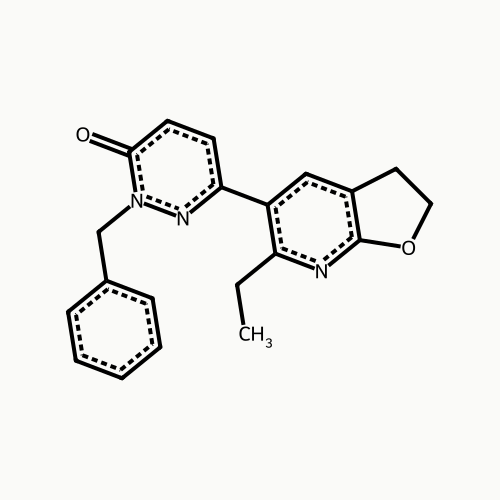 CCc1nc2c(cc1-c1ccc(=O)n(Cc3ccccc3)n1)CCO2